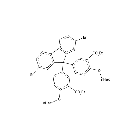 CCCCCCOc1ccc(C2(c3ccc(OCCCCCC)c(C(=O)OCC)c3)c3cc(Br)ccc3-c3ccc(Br)cc32)cc1C(=O)OCC